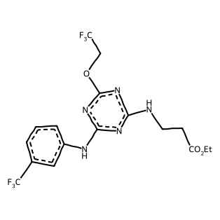 CCOC(=O)CCNc1nc(Nc2cccc(C(F)(F)F)c2)nc(OCC(F)(F)F)n1